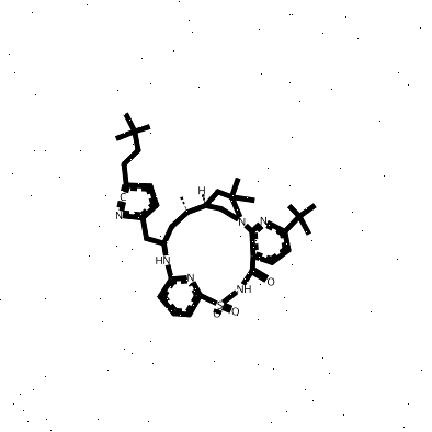 C[C@H]1CC(Cc2ccc(CCC(C)(C)C)cn2)Nc2cccc(n2)S(=O)(=O)NC(=O)c2ccc(C(C)(C)C)nc2N2C[C@@H]1CC2(C)C